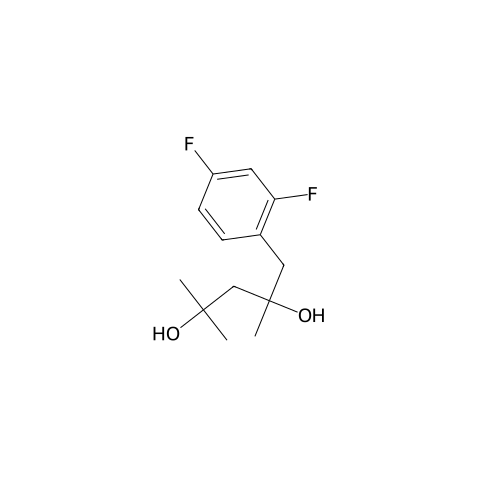 CC(C)(O)CC(C)(O)Cc1ccc(F)cc1F